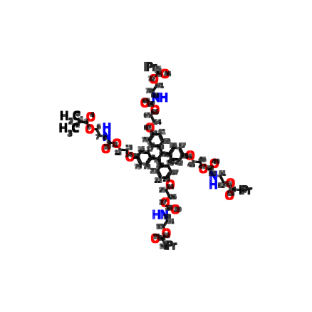 C=C(C)C(=O)OCCNC(=O)OCCOc1ccc(C(c2ccc(OCCOC(=O)NCCOC(=O)C(C)C)cc2)C(c2ccc(OCCOC(=O)NCCOC(=O)C(C)C)cc2)c2ccc(OCCOC(=O)NCCOC(=O)C(C)C)cc2)cc1